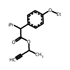 C#CC(C)OC(=O)C(c1ccc(OCC)cc1)C(C)C